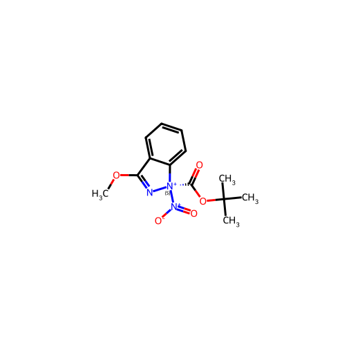 COC1=N[N@+](C(=O)OC(C)(C)C)([N+](=O)[O-])c2ccccc21